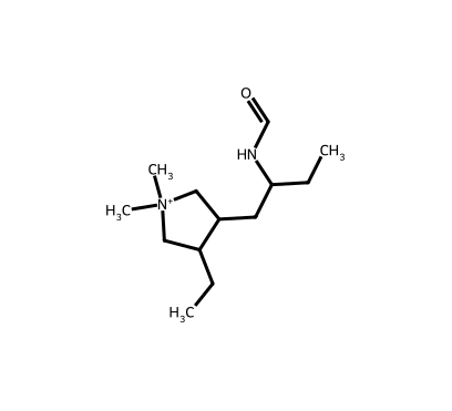 CCC(CC1C[N+](C)(C)CC1CC)NC=O